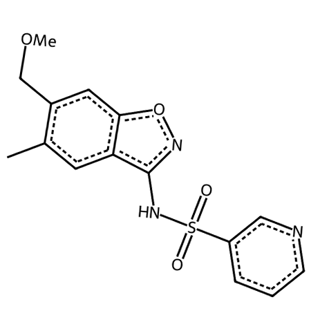 COCc1cc2onc(NS(=O)(=O)c3cccnc3)c2cc1C